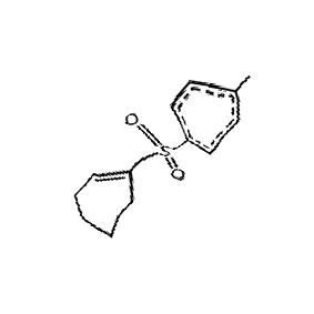 Cc1ccc(S(=O)(=O)C2=CCCCC2)cc1